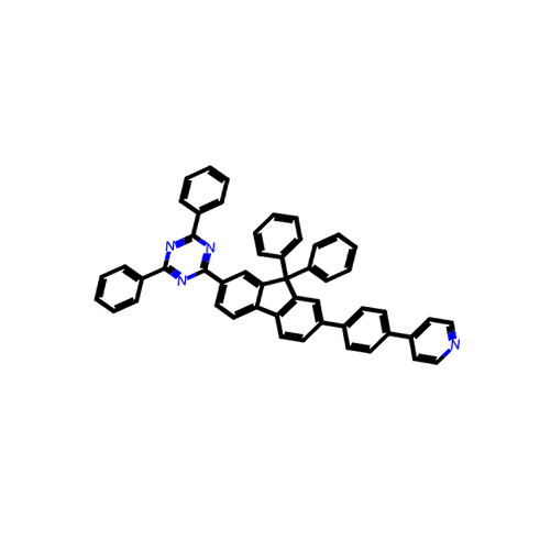 c1ccc(-c2nc(-c3ccccc3)nc(-c3ccc4c(c3)C(c3ccccc3)(c3ccccc3)c3cc(-c5ccc(-c6ccncc6)cc5)ccc3-4)n2)cc1